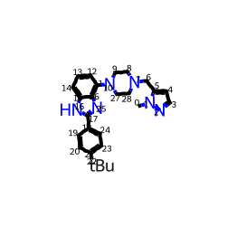 Cn1nccc1CN1CCN(c2cccc3[nH]c(-c4ccc(C(C)(C)C)cc4)nc23)CC1